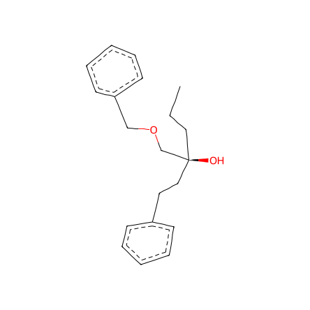 CCC[C@](O)(CCc1ccccc1)COCc1ccccc1